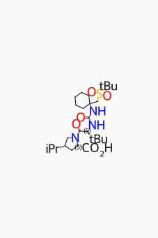 CC(C)C1C[C@@H](C(=O)O)N(C(=O)[C@@H](NC(=O)NC2(CS(=O)(=O)C(C)(C)C)CCCCC2)C(C)(C)C)C1